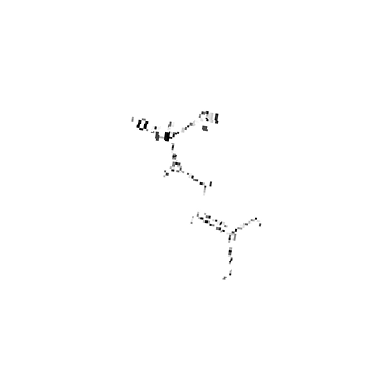 CC(C)=CCO[PH](=O)O